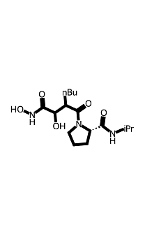 CCCCC(C(=O)N1CCC[C@H]1C(=O)NC(C)C)C(O)C(=O)NO